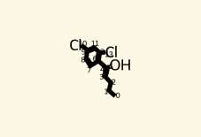 CCCC=C(O)c1ccc(Cl)cc1Cl